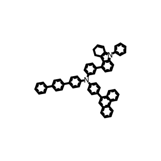 C1=Cc2c(c3c(-c4cccc(N(c5ccc(-c6ccc(-c7ccccc7)cc6)cc5)c5ccc(-c6cc7ccccc7c7ccccc67)cc5)c4)cccc3n2-c2ccccc2)CC1